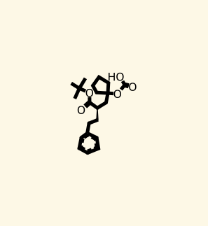 CC(C)(C)OC(=O)[C@H](CCc1ccccc1)CC1(OC(=O)O)CCCC1